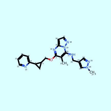 Cc1c(OCC2CC2c2ccccn2)nc2ccnn2c1NCc1cnn(C)c1